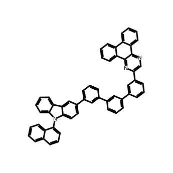 c1cc(-c2cccc(-c3ccc4c(c3)c3ccccc3n4-c3cccc4ccccc34)c2)cc(-c2cccc(-c3cnc4c5ccccc5c5ccccc5c4n3)c2)c1